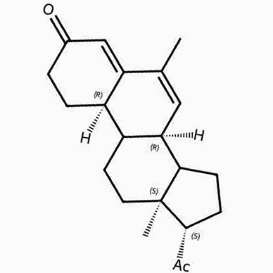 CC(=O)[C@H]1CCC2[C@@H]3C=C(C)C4=CC(=O)CC[C@@H]4C3CC[C@@]21C